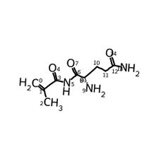 C=C(C)C(=O)NC(=O)[C@@H](N)CCC(N)=O